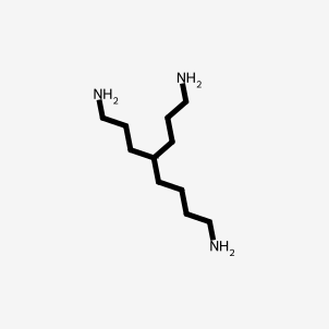 NCCCC[C](CCCN)CCCN